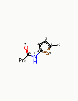 Cc1ccc(NC(=O)C(C)C)s1